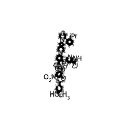 CC(C)c1ccccc1[C@@H]1COCCN1C1CC2(CCN(c3ccc(C(=O)NS(=O)(=O)c4cc5c(c([N+](=O)[O-])c4)S[C@@H]([C@H]4CC[C@](C)(O)CC4)CO5)c(Oc4cnc5[nH]cc(Cl)c5c4)c3)CC2)C1